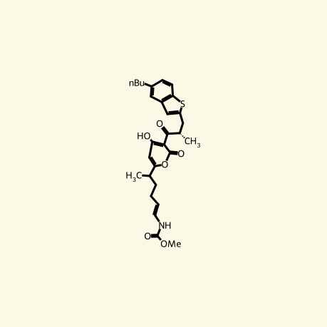 CCCCc1ccc2sc(C[C@H](C)C(=O)c3c(O)cc(C(C)CC/C=C/NC(=O)OC)oc3=O)cc2c1